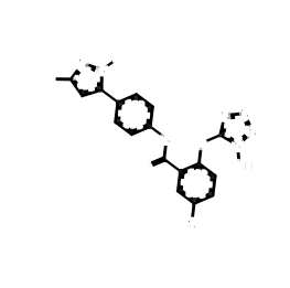 Cc1cc(-c2ccc(NC(=O)c3cc([N+](=O)[O-])ccc3Sc3nnnn3C)cc2)n(C)n1